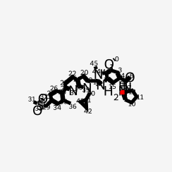 COc1cc(C(=O)N2CC3CCC2[C@@H]3N)cc2nc(-c3cc4ccc(-c5ccc(CS(C)(=O)=O)cc5C)nc4n3CC3CC3)n(C)c12